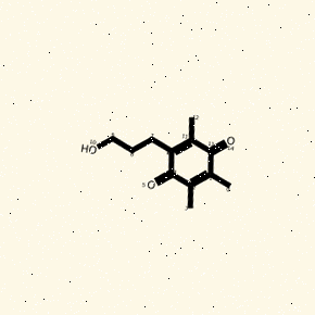 CC1=C(C)C(=O)C(CCCO)=C(C)C1=O